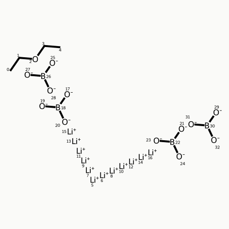 CCOCC.[Li+].[Li+].[Li+].[Li+].[Li+].[Li+].[Li+].[Li+].[Li+].[Li+].[Li+].[Li+].[O-]B([O-])[O-].[O-]B([O-])[O-].[O-]B([O-])[O-].[O-]B([O-])[O-]